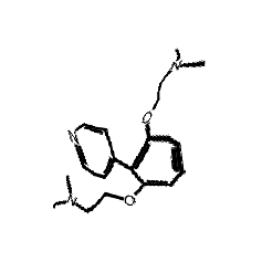 CN(C)CCOc1cccc(OCCN(C)C)c1-c1ccncc1